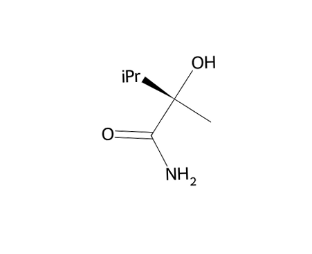 CC(C)[C@](C)(O)C(N)=O